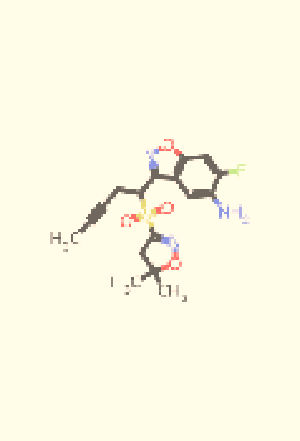 CC#CCC(c1noc2cc(F)c(N)cc12)S(=O)(=O)C1=NOC(C)(C)C1